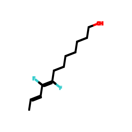 C/C=C/C(F)=C(\F)CCCCCCCO